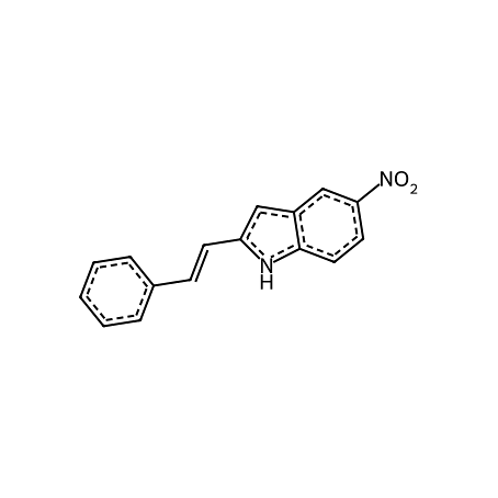 O=[N+]([O-])c1ccc2[nH]c(/C=C/c3ccccc3)cc2c1